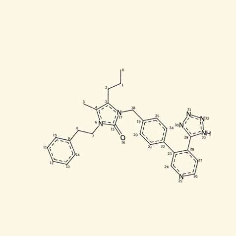 CCCc1c(C)n(CCc2ccccc2)c(=O)n1Cc1ccc(-c2cnccc2-c2nnn[nH]2)cc1